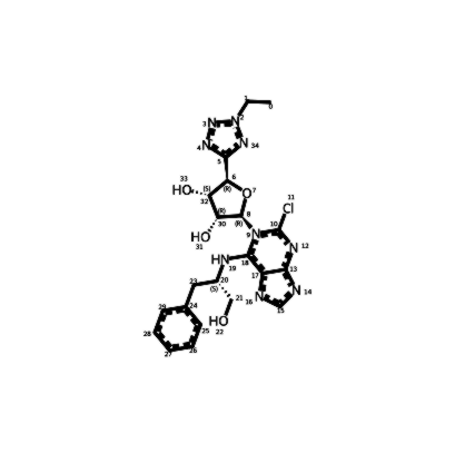 CCn1nnc([C@H]2O[C@@H](n3c(Cl)nc4ncnc-4c3N[C@H](CO)Cc3ccccc3)[C@H](O)[C@@H]2O)n1